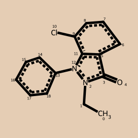 CCn1c(=O)c2cccc(Cl)c2n1-c1ccccc1